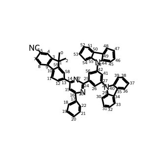 CC1(C)c2cc(C#N)ccc2-c2ccc(-c3cc(-c4ccccc4)nc(-c4cc(-n5c6ccccc6c6ccccc65)cc(-n5c6ccccc6c6ccccc65)c4)n3)cc21